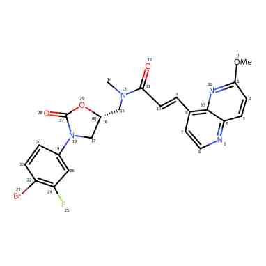 COc1ccc2nccc(C=CC(=O)N(C)C[C@@H]3CN(c4ccc(Br)c(F)c4)C(=O)O3)c2n1